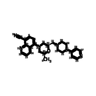 C[C@@H]1CN(c2ccc(C#N)c3ncccc23)C[C@H](CN2CCN(c3ccncc3)CC2)O1